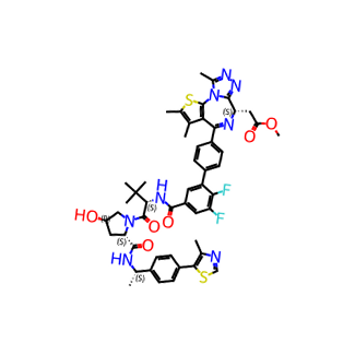 COC(=O)C[C@@H]1N=C(c2ccc(-c3cc(C(=O)N[C@H](C(=O)N4C[C@H](O)C[C@H]4C(=O)N[C@@H](C)c4ccc(-c5scnc5C)cc4)C(C)(C)C)cc(F)c3F)cc2)c2c(sc(C)c2C)-n2c(C)nnc21